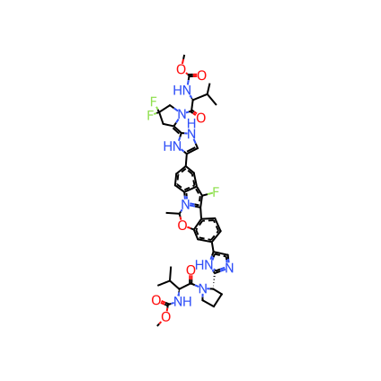 COC(=O)N[C@H](C(=O)N1CC(F)(F)C/C1=C1/NC=C(c2ccc3c(c2)c(F)c2n3C(C)Oc3cc(-c4cnc([C@@H]5CCCN5C(=O)[C@@H](NC(=O)OC)C(C)C)[nH]4)ccc3-2)N1)C(C)C